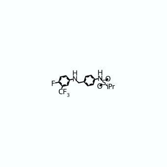 CC(C)S(=O)(=O)Nc1ccc(CNc2ccc(F)c(C(F)(F)F)c2)cc1